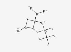 CC(C)(C)[Si](C)(C)OC1(C(F)F)CC(O)C1